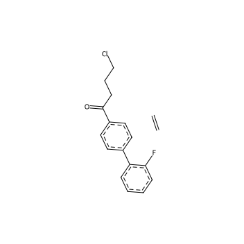 C=C.O=C(CCCCl)c1ccc(-c2ccccc2F)cc1